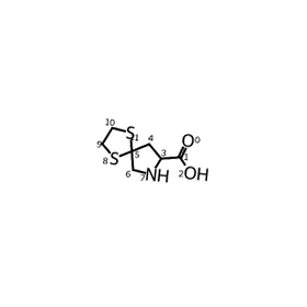 O=C(O)C1CC2(CN1)SCCS2